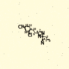 C=CCC1(C#N)N=CC(CCc2ccc(Cl)cc2Cl)=N1